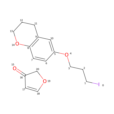 ICCCOc1ccc2c(c1)CCCO2.O=C1C=COC1